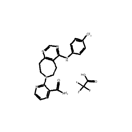 NC(=O)c1cccnc1N1CCc2ncnc(Nc3ccc(C(F)(F)F)cc3)c2CC1.O=C(O)C(F)(F)F